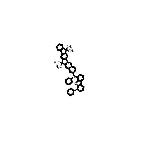 CC1(C)c2ccccc2-c2cc3c(cc21)-c1cc2ccc(N(c4ccccc4)c4cccc5c4oc4c(-c6ccccc6)cccc45)cc2cc1C3(C)C